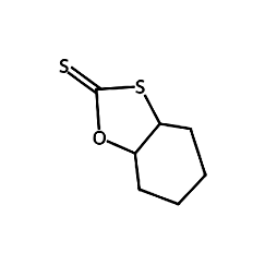 S=C1OC2CCCCC2S1